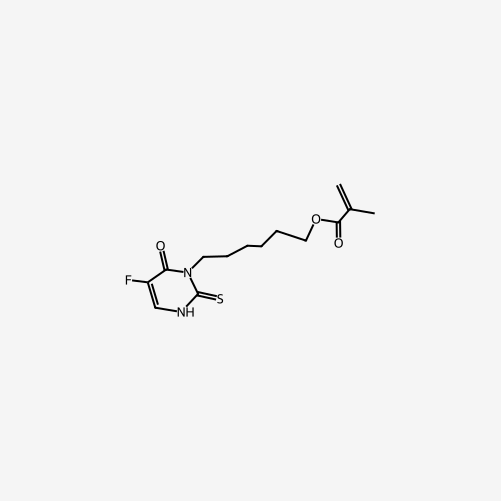 C=C(C)C(=O)OCCCCCCn1c(=S)[nH]cc(F)c1=O